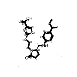 CCC(C)c1ccc(NC[C@H]2CCC(=O)N2CCSc2nc(C(=O)O)cs2)cc1